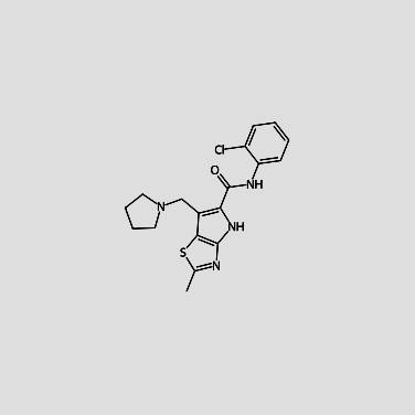 Cc1nc2[nH]c(C(=O)Nc3ccccc3Cl)c(CN3CCCC3)c2s1